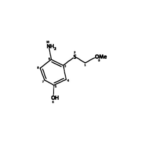 COCSc1cc(O)ccc1N